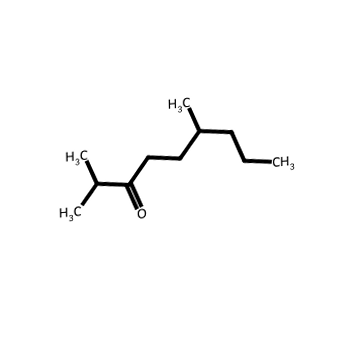 CCCC(C)CCC(=O)C(C)C